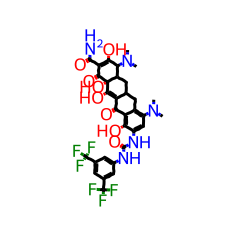 CN(C)c1cc(NC(=O)Nc2cc(C(F)(F)F)cc(C(F)(F)F)c2)c(O)c2c1CC1CC3C(N(C)C)C(O)=C(C(N)=O)C(=O)C3(O)C(O)=C1C2=O